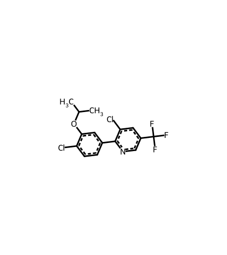 CC(C)Oc1cc(-c2ncc(C(F)(F)F)cc2Cl)ccc1Cl